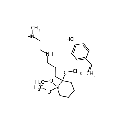 C=Cc1ccccc1.CNCCNCCCC1(OC)CCCC[Si]1(OC)OC.Cl